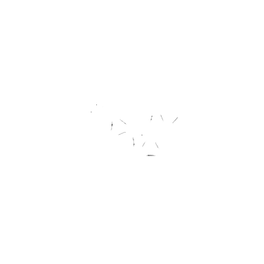 C=C(C)c1ccc(C2Oc3cc(B4OC(C)(C)C(C)(C)O4)cc(F)c3-c3cc4cc(Cl)ccc4n32)s1